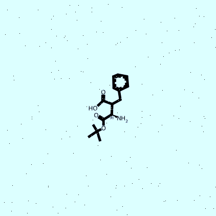 CC(C)(C)OC(=O)[C@H](N)C(Cc1ccccc1)C(=O)O